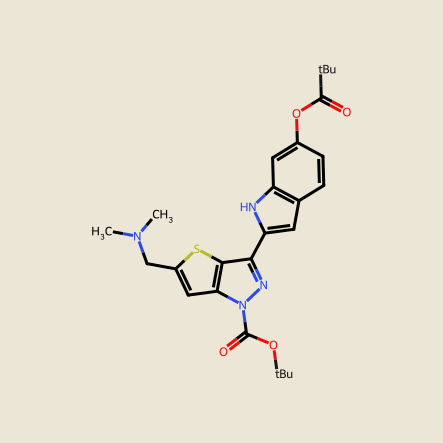 CN(C)Cc1cc2c(s1)c(-c1cc3ccc(OC(=O)C(C)(C)C)cc3[nH]1)nn2C(=O)OC(C)(C)C